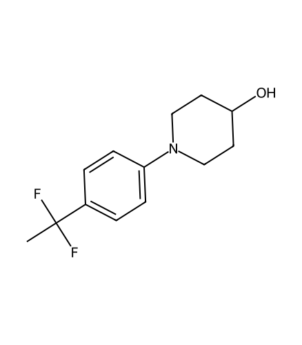 CC(F)(F)c1ccc(N2CCC(O)CC2)cc1